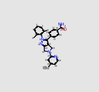 Cc1cccc(C)c1-n1nc2c(c1-c1ccc(C(N)=O)cc1)CN(c1cc(C(C)(C)C)ccn1)C2